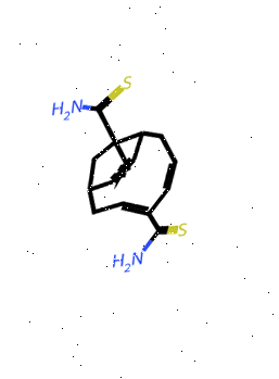 NC(=S)C1=C\CC2CCC(C/C=C\1)c1cc(C(N)=S)ccc12